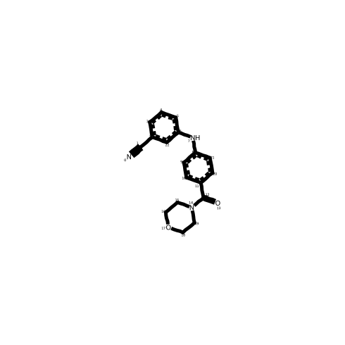 N#Cc1cccc(Nc2ccc(C(=O)N3CCOCC3)cc2)c1